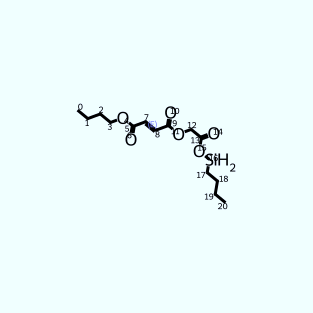 CCCCOC(=O)/C=C/C(=O)OCC(=O)O[SiH2]CCCC